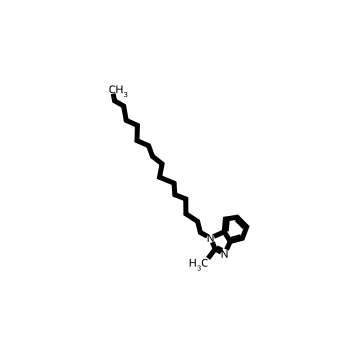 CCCCCCCCCCCCCCCCn1c(C)nc2ccccc21